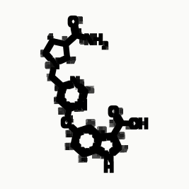 NC(=O)C1CCN(Cc2cc(Oc3ccc4[nH]cc(C(=O)O)c4c3)ncn2)C1